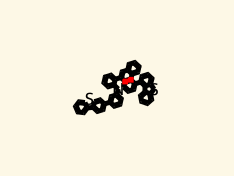 c1cc(-c2ccc3c(c2)sc2ccccc23)cc(N(c2ccc(-c3cccc4sc5ccccc5c34)cc2)c2ccccc2-c2ccc3ccccc3c2)c1